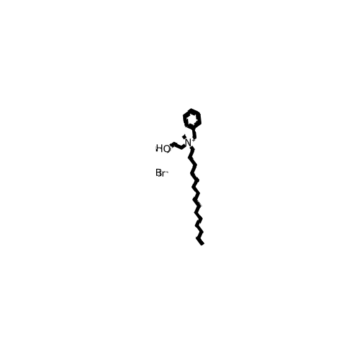 CCCCCCCCCCCCCCC[N+](C)(CCO)Cc1ccccc1.[Br-]